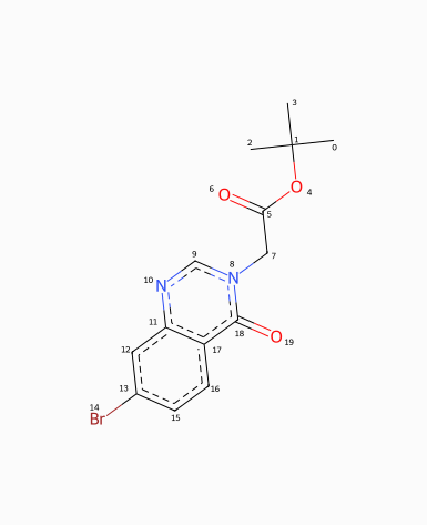 CC(C)(C)OC(=O)Cn1cnc2cc(Br)ccc2c1=O